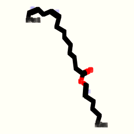 CCCCC/C=C\C/C=C\CCCCCCCC(=O)O/C=C/CCCCCCCCCCCCC